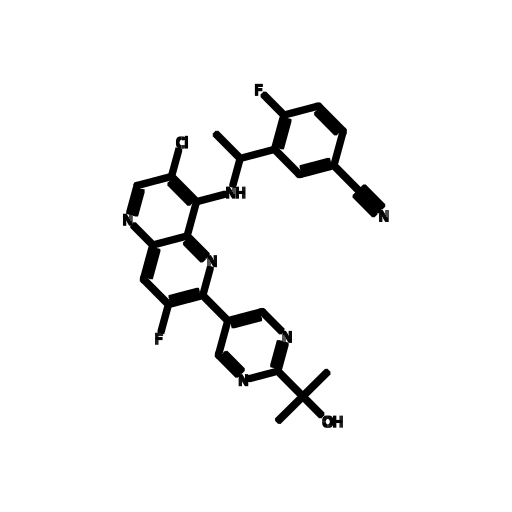 CC(Nc1c(Cl)cnc2cc(F)c(-c3cnc(C(C)(C)O)nc3)nc12)c1cc(C#N)ccc1F